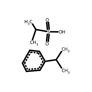 CC(C)S(=O)(=O)O.CC(C)c1ccccc1